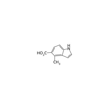 Cc1c(C(=O)O)ccc2[nH]ccc12